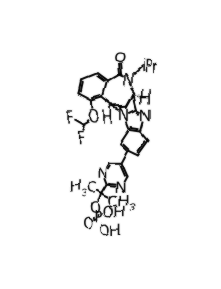 CC(C)N1C(=O)c2cccc(OC(F)F)c2[C@@H]2C[C@@H]1c1nc3ccc(-c4cnc(C(C)(C)OP(=O)(O)O)nc4)cc3n12